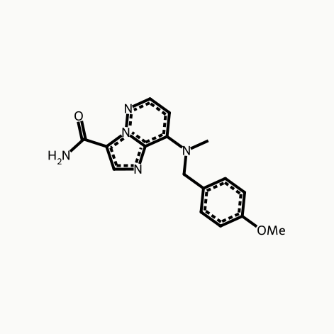 COc1ccc(CN(C)c2ccnn3c(C(N)=O)cnc23)cc1